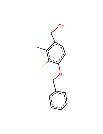 OCc1ccc(OCc2ccccc2)c(F)c1I